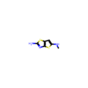 CNc1cc2sc(N)nc2s1